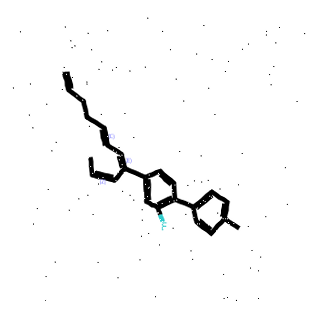 C=CCC/C=C/C=C(\C=C/C)c1ccc(-c2ccc(C)cc2)c(F)c1